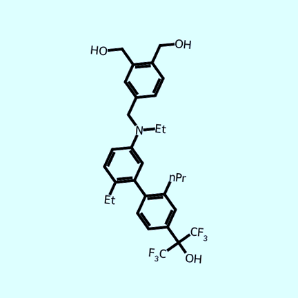 CCCc1cc(C(O)(C(F)(F)F)C(F)(F)F)ccc1-c1cc(N(CC)Cc2ccc(CO)c(CO)c2)ccc1CC